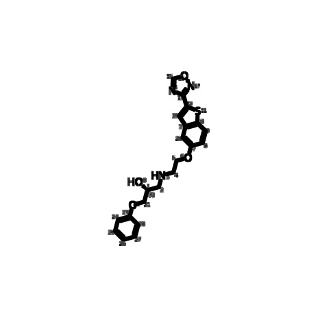 O[C@@H](CNCCOc1ccc2sc(-c3ncon3)cc2c1)COc1ccccc1